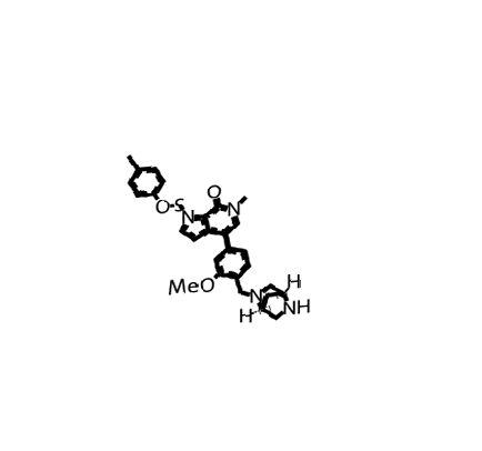 COc1cc(-c2cn(C)c(=O)c3c2ccn3SOc2ccc(C)cc2)ccc1CN1C[C@@H]2C[C@H]1CN2